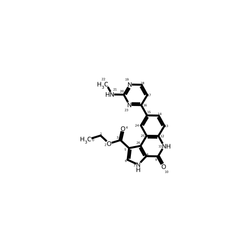 CCOC(=O)c1c[nH]c2c(=O)[nH]c3ccc(-c4ccnc(NC)n4)cc3c12